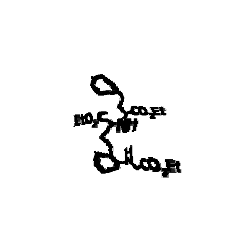 CCOC(=O)CNc1ccccc1CCC(NC(CCc1ccccc1)C(=O)OCC)C(=O)OCC